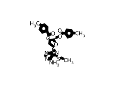 CCSc1nn([C@H]2C[C@H](OC(=O)c3ccc(C)cc3)[C@@H](COC(=O)c3ccc(C)cc3)O2)c2ncnc(N)c12